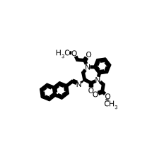 COCC(=O)N1C[C@H](/N=C/c2ccc3ccccc3c2)C(=O)N(CC(=O)OC)c2ccccc21